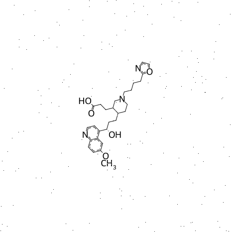 COc1ccc2nccc([C@@H](O)CCC3CCN(CCCCc4ncco4)CC3CCC(=O)O)c2c1